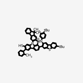 Cc1ccccc1-c1cc2c3ccc(-c4cc5sc6cc(C(C)(C)C)ccc6c5cc4Nc4ccc(C(C)(C)C)cc4)c4c3n(c2cc1S)-c1cc2c(cc1B4)C(C)(C)c1ccccc1-2